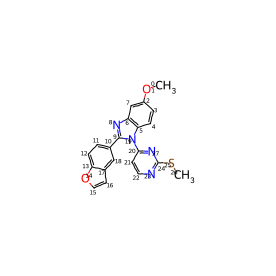 COc1ccc2c(c1)nc(-c1ccc3occc3c1)n2-c1ccnc(SC)n1